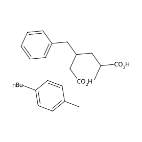 CC(CC(CC(=O)O)Cc1ccccc1)C(=O)O.CCCCc1ccc(C)cc1